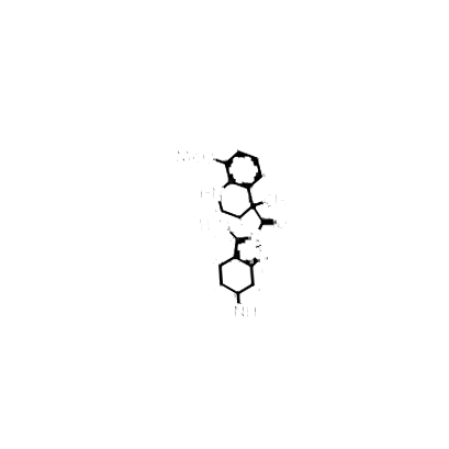 COc1cccc2c1NCCC2(C)C(=O)n1nc2c(c1N)CCC(N)C2